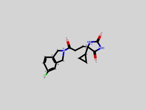 O=C1NC(=O)[C@](CCC(=O)N2Cc3ccc(Cl)cc3C2)(C2CC2)N1